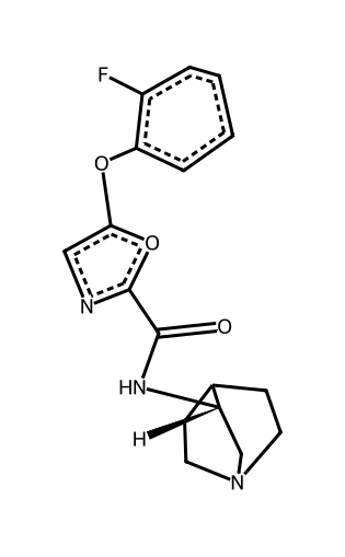 O=C(N[C@H]1CN2CCC1CC2)c1ncc(Oc2ccccc2F)o1